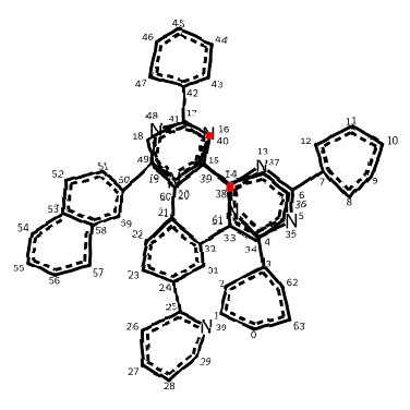 c1ccc(-c2nc(-c3ccccc3)nc(-c3ccccc3-c3ccc(-c4ccccn4)cc3-c3ccccc3-c3nc(-c4ccccc4)nc(-c4ccc5ccccc5c4)n3)n2)cc1